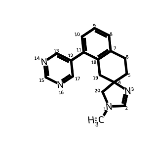 CN1C=NC2(CCc3cccc(-c4cncnc4)c3C2)C1